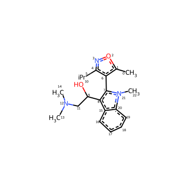 Cc1onc(C(C)C)c1-c1c(C(O)CN(C)C)c2ccccc2n1C